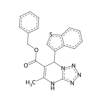 CC1=C(C(=O)OCc2ccccc2)C(c2csc3ccccc23)n2nnnc2N1